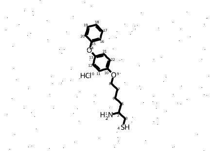 Cl.NC(CS)CCCCOc1ccc(Oc2ccccc2)cc1